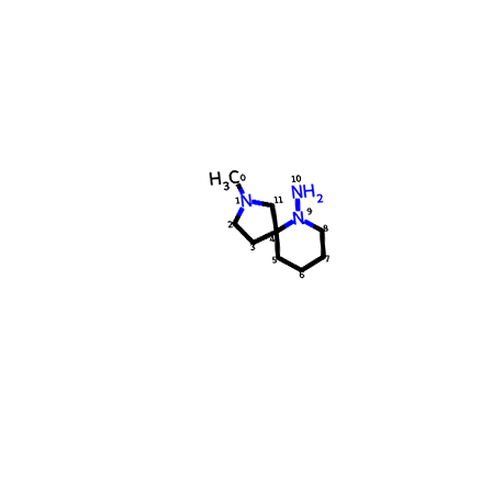 CN1CCC2(CCCCN2N)C1